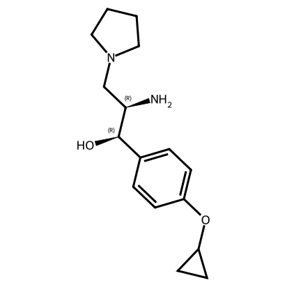 N[C@H](CN1CCCC1)[C@H](O)c1ccc(OC2CC2)cc1